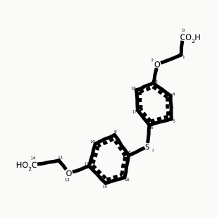 O=C(O)COc1ccc(Sc2ccc(OCC(=O)O)cc2)cc1